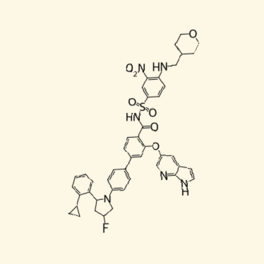 O=C(NS(=O)(=O)c1ccc(NCC2CCOCC2)c([N+](=O)[O-])c1)c1ccc(-c2ccc(N3CC(F)CC3c3ccccc3C3CC3)cc2)cc1Oc1cnc2[nH]ccc2c1